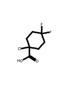 O=C(O)C1(Cl)CCC(F)(F)CC1